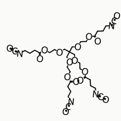 O=C=NCCCC(=O)OCCOCC(COCCOC(=O)CCCN=C=O)(COCCOC(=O)CCCN=C=O)COCCOC(=O)CCCN=C=O